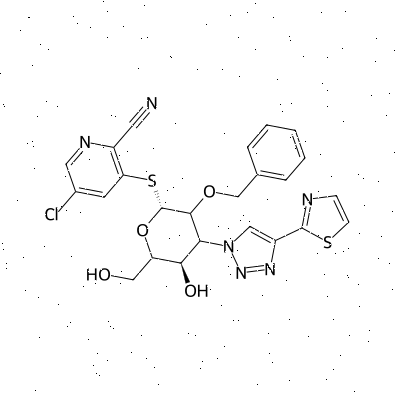 N#Cc1ncc(Cl)cc1S[C@H]1OC(CO)[C@H](O)C(n2cc(-c3nccs3)nn2)C1OCc1ccccc1